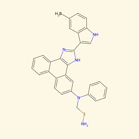 Bc1ccc2[nH]cc(-c3nc4c5ccccc5c5ccc(N(CSN)c6ccccc6)cc5c4[nH]3)c2c1